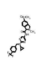 CN1Cc2cc([S+](C)[O-])ccc2C1C(=O)Nc1cnc(N(Cc2ccc(C(F)(F)F)cc2)C2CC2)nc1